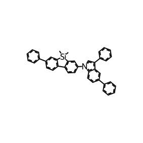 C[Si]1(C)c2cc(-c3ccccc3)ccc2-c2ccc(-n3cc(-c4ccccc4)c4cc(-c5ccccc5)ccc43)cc21